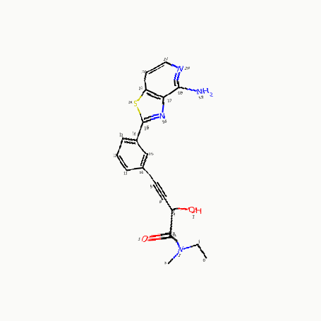 CCN(C)C(=O)C(O)C#Cc1cccc(-c2nc3c(N)nccc3s2)c1